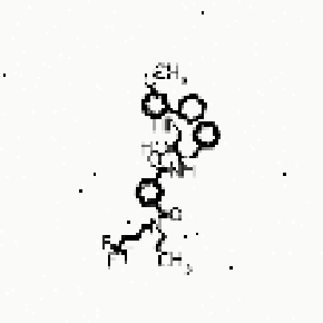 CCCN(CCCC(F)(F)F)C(=O)c1cccc(C(=O)N[C@@H](Cc2ccccc2)[C@H](O)CNC2(c3cccc(OC)c3)CCCCC2)c1